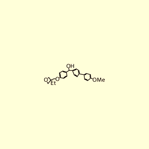 CCC1(COc2ccc(C(O)c3ccc(-c4ccc(OC)cc4)cc3)cc2)COC1